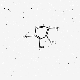 CCCc1ccc(O)c(C)c1C(C)(C)C